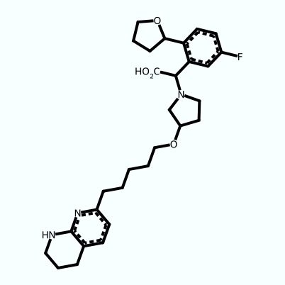 O=C(O)C(c1cc(F)ccc1C1CCCO1)N1CCC(OCCCCCc2ccc3c(n2)NCCC3)C1